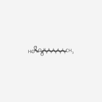 CCCCCCCCCCCC(=O)OCC(=O)O